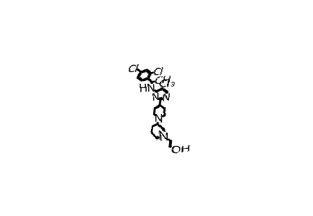 CC(Nc1nc(C2=CCN(C3CCCN(CCO)C3)CC2)ncc1Cl)c1ccc(Cl)cc1Cl